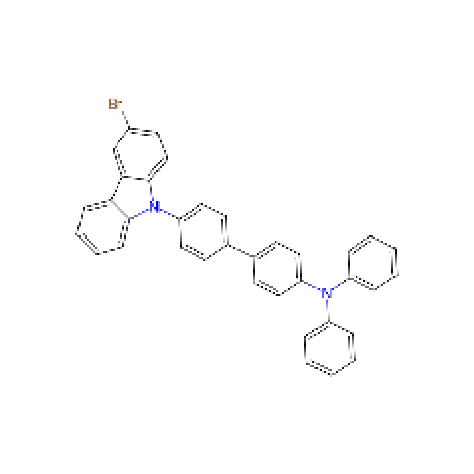 Brc1ccc2c(c1)c1ccccc1n2-c1ccc(-c2ccc(N(c3ccccc3)c3ccccc3)cc2)cc1